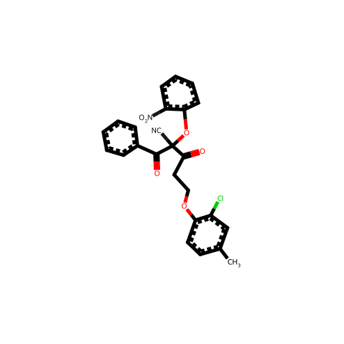 Cc1ccc(OCCC(=O)C(C#N)(Oc2ccccc2[N+](=O)[O-])C(=O)c2ccccc2)c(Cl)c1